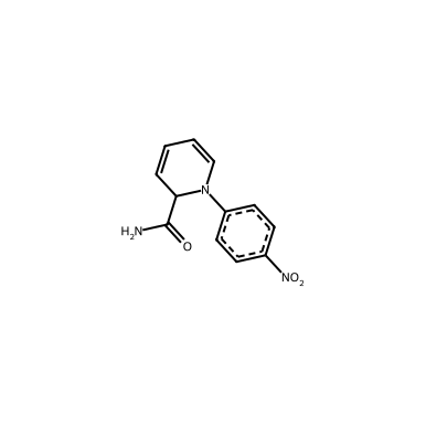 NC(=O)C1C=CC=CN1c1ccc([N+](=O)[O-])cc1